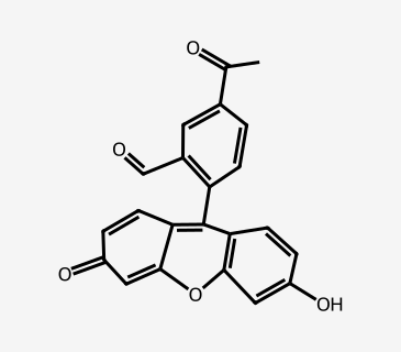 CC(=O)c1ccc(-c2c3ccc(=O)cc-3oc3cc(O)ccc23)c(C=O)c1